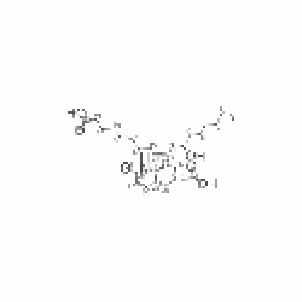 CC(=O)O.CCCCCC[C@@H](O)C/C=C\CCCCCCCC(=O)O.O=c1ccc2ccccc2[nH]1